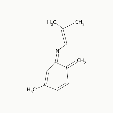 C=C1C=CC(C)=C/C1=N/C=C(C)C